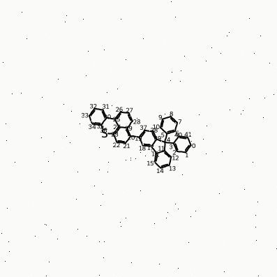 c1ccc(C2(c3ccccc3)c3ccccc3-c3cc(-c4ccc5c6c(cccc46)-c4ccccc4S5)ccc32)cc1